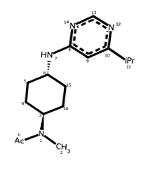 CC(=O)N(C)[C@H]1CC[C@H](Nc2cc(C(C)C)ncn2)CC1